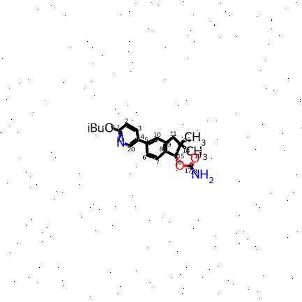 CC(C)COc1ccc(-c2ccc3c(c2)CC(C)(C)C3OC(N)=O)cn1